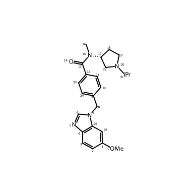 COc1ccc2ncn(Cc3ccc(C(=O)N(C)[C@@H]4CCN(C(C)C)C4)cc3)c2c1